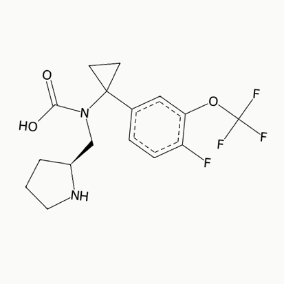 O=C(O)N(C[C@@H]1CCCN1)C1(c2ccc(F)c(OC(F)(F)F)c2)CC1